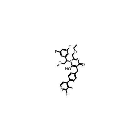 CCOCc1nc(=O)c(Cc2ccc(-c3ccnc(F)c3C)cc2)c(O)n1C(COC)c1cc(F)cc(F)c1